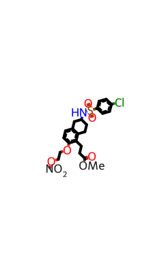 COC(=O)CCc1c(OCCO[N+](=O)[O-])ccc2c1CCC(NS(=O)(=O)c1ccc(Cl)cc1)C2